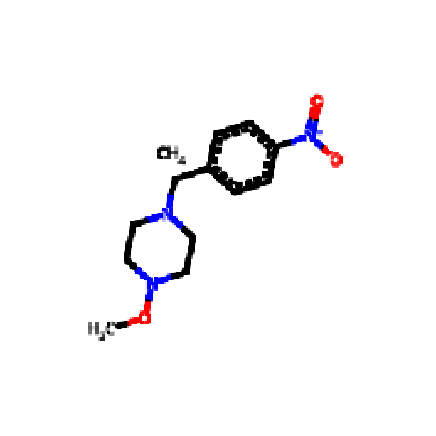 C.CON1CCN(Cc2ccc([N+](=O)[O-])cc2)CC1